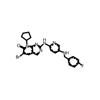 O=c1c(Br)cc2cnc(Nc3ccc(NCc4ccc(F)cc4)cn3)nc2n1C1CCCC1